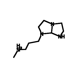 C[SiH2]CCCN1CCN2CCNC12